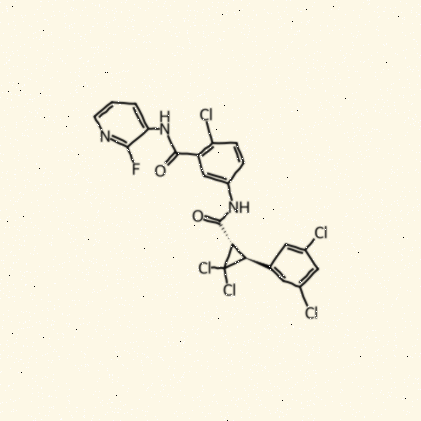 O=C(Nc1cccnc1F)c1cc(NC(=O)[C@@H]2[C@@H](c3cc(Cl)cc(Cl)c3)C2(Cl)Cl)ccc1Cl